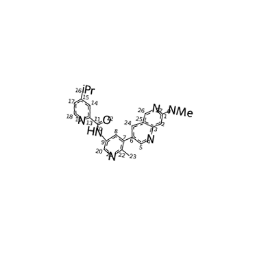 CNc1cc2ncc(-c3cc(NC(=O)c4cc(C(C)C)ccn4)cnc3C)cc2cn1